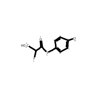 O=C(O)C(F)C(=O)Sc1ccc(Cl)cc1